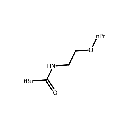 CCCOCCNC(=O)C(C)(C)C